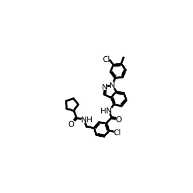 Cc1ccc(-n2ncc3c(NC(=O)c4cc(CNC(=O)C5CCCC5)ccc4Cl)cccc32)cc1Cl